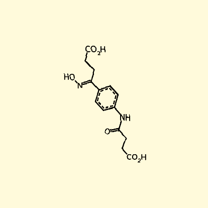 O=C(O)CCC(=O)Nc1ccc(C(CCC(=O)O)=NO)cc1